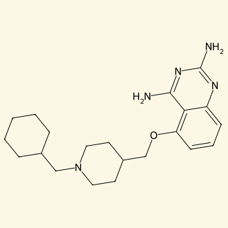 Nc1nc(N)c2c(OCC3CCN(CC4CCCCC4)CC3)cccc2n1